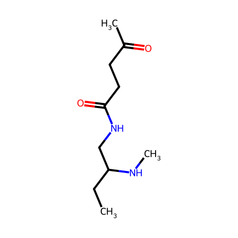 CCC(CNC(=O)CCC(C)=O)NC